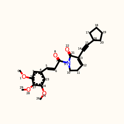 COc1cc(C=CC(=O)N2CCC=C(C#CC3CCCC3)C2=O)cc(OC)c1OC